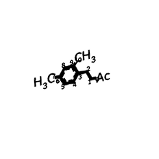 CC(=O)CCc1ccc(C)cc1C